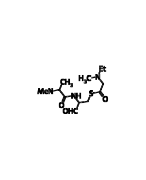 CCN(C)CC(=O)SCC(C=O)NC(=O)C(C)NC